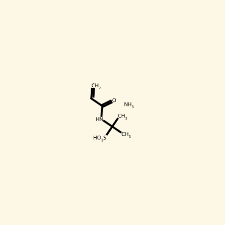 C=CC(=O)NC(C)(C)S(=O)(=O)O.N